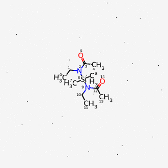 CCN(C(C)=O)[Si](C)(C)N(CC)C(C)=O